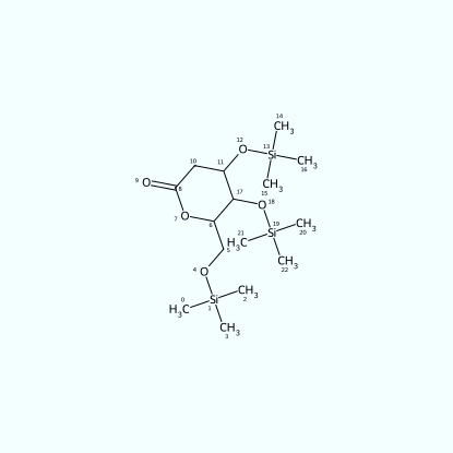 C[Si](C)(C)OCC1OC(=O)CC(O[Si](C)(C)C)C1O[Si](C)(C)C